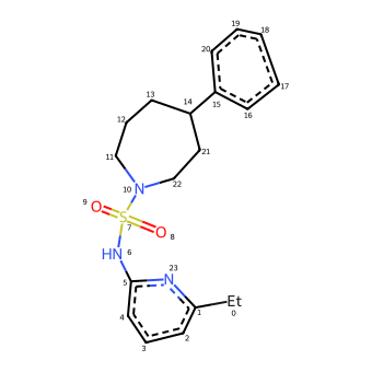 CCc1cccc(NS(=O)(=O)N2CCCC(c3ccccc3)CC2)n1